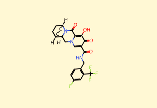 O=C(NCc1ccc(F)cc1C(F)(F)F)c1cn2c(c(O)c1=O)C(=O)N1[C@H]3CC[C@H](CC3)[C@@H]1C2